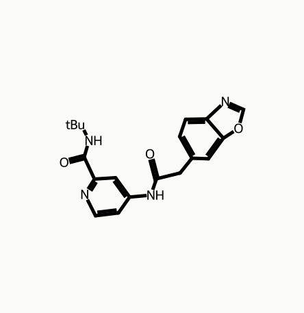 CC(C)(C)NC(=O)c1cc(NC(=O)Cc2ccc3ncoc3c2)ccn1